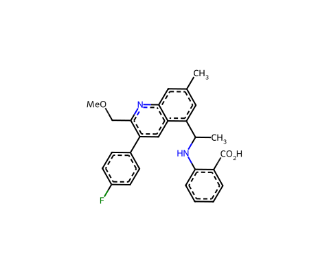 COCc1nc2cc(C)cc(C(C)Nc3ccccc3C(=O)O)c2cc1-c1ccc(F)cc1